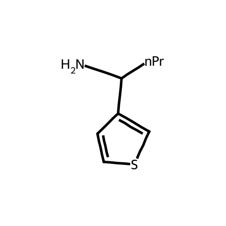 CCCC(N)c1ccsc1